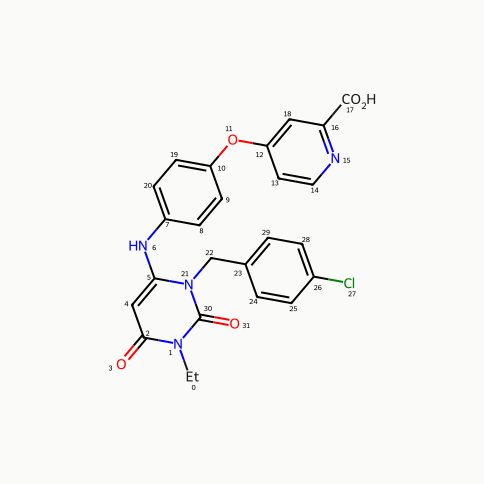 CCn1c(=O)cc(Nc2ccc(Oc3ccnc(C(=O)O)c3)cc2)n(Cc2ccc(Cl)cc2)c1=O